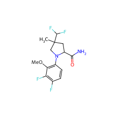 COc1c(N2CC(C)(C(F)F)CC2C(N)=O)ccc(F)c1F